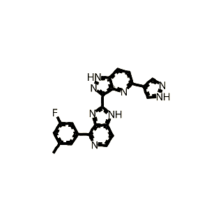 Cc1cc(F)cc(-c2nccc3[nH]c(-c4n[nH]c5ccc(-c6cn[nH]c6)nc45)nc23)c1